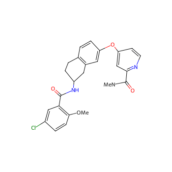 CNC(=O)c1cc(Oc2ccc3c(c2)CC(NC(=O)c2cc(Cl)ccc2OC)CC3)ccn1